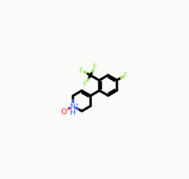 [O-][NH+]1CC=C(c2ccc(F)cc2C(F)(F)F)CC1